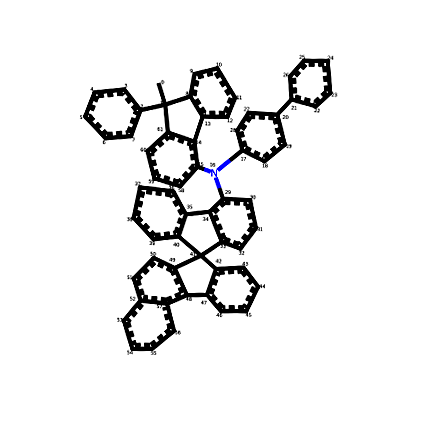 CC1(c2ccccc2)c2ccccc2-c2c(N(c3ccc(-c4ccccc4)cc3)c3cccc4c3-c3ccccc3C43c4ccccc4-c4c3ccc3ccccc43)cccc21